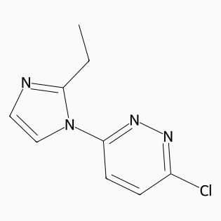 CCc1nccn1-c1ccc(Cl)nn1